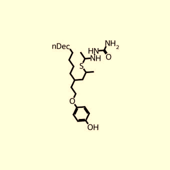 CCCCCCCCCCCCCCC(CCOc1ccc(O)cc1)CC(C)SC(C)NNC(N)=O